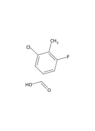 Cc1c(F)cccc1Cl.O=CO